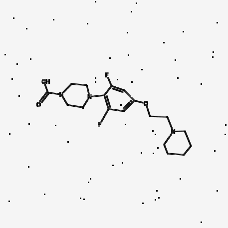 O=C(O)N1CCN(c2c(F)cc(OCCN3CCCCC3)cc2F)CC1